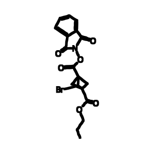 CCCOC(=O)C12CC(C(=O)ON3C(=O)c4ccccc4C3=O)(C1)C2Br